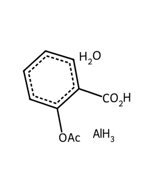 CC(=O)Oc1ccccc1C(=O)O.O.[AlH3]